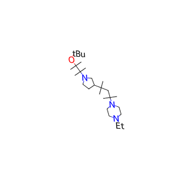 CCN1CCN(C(C)(C)CC(C)(C)C2CCN(C(C)(C)C(C)(C)OC(C)(C)C)C2)CC1